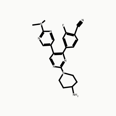 CN(C)c1ncc(-c2cnc(N3CCC(N)CC3)nc2-c2ccc(C#N)c(F)c2)cn1